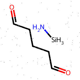 N[SiH3].O=CCCCC=O